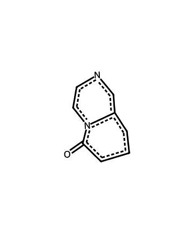 O=c1cccc2cnccn12